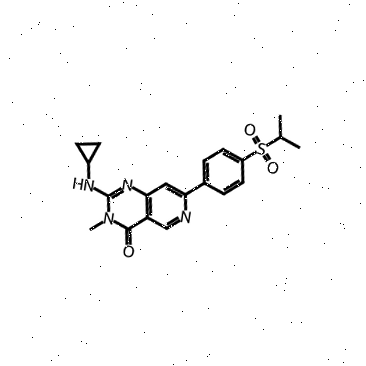 CC(C)S(=O)(=O)c1ccc(-c2cc3nc(NC4CC4)n(C)c(=O)c3cn2)cc1